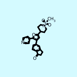 CS(=O)(=O)N1CCC(c2cc(-c3ccc4c(c3)CCC4=O)c(-c3ccncc3)o2)CC1